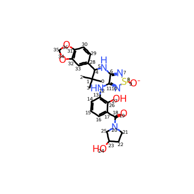 CC(C)(C)C(Nc1n[s+]([O-])nc1Nc1cccc(C(=O)N2CCC(O)C2)c1O)c1ccc2c(c1)OCO2